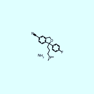 CN(C)CCCC1(c2ccc(F)cc2)OCc2cc(C#N)ccc21.N